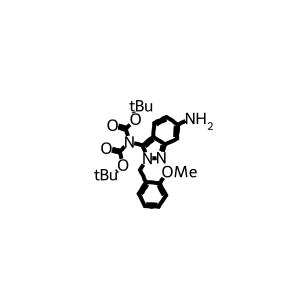 COc1ccccc1Cn1nc2cc(N)ccc2c1N(C(=O)OC(C)(C)C)C(=O)OC(C)(C)C